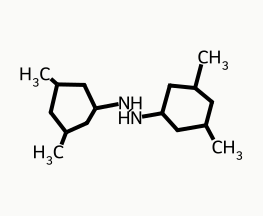 CC1CC(C)CC(NNC2CC(C)CC(C)C2)C1